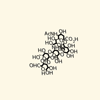 CC(=O)N[C@@H]1[C@@H](O)C[C@](OCC2O[C@@H](O[C@H]3[C@H](O)[C@@H](NC(C)=O)[C@H](O[C@H]4[C@@H](O)[C@@H](CO)O[C@@H](OC(C(O)CO)C(O)C(O)C=O)[C@@H]4O)O[C@@H]3CO)[C@H](O)[C@@H](O)[C@H]2O)(C(=O)O)O[C@H]1C(O)C(O)CO